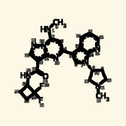 CNc1cc(-c2cn([C@H]3CCN(C)C3)c3ncccc23)nc2c(C(=O)NC3CCC3(F)F)cnn12